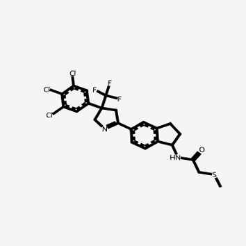 CSCC(=O)NC1CCc2cc(C3=NCC(c4cc(Cl)c(Cl)c(Cl)c4)(C(F)(F)F)C3)ccc21